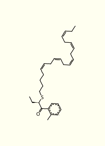 CC/C=C\C/C=C\C/C=C\C/C=C\C/C=C\CCCCS[C@H](CC)C(=O)c1ccc[c]c1C